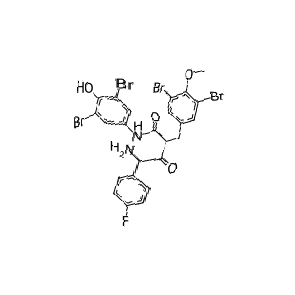 COc1c(Br)cc(CC(C(=O)Nc2cc(Br)c(O)c(Br)c2)C(=O)C(N)c2ccc(F)cc2)cc1Br